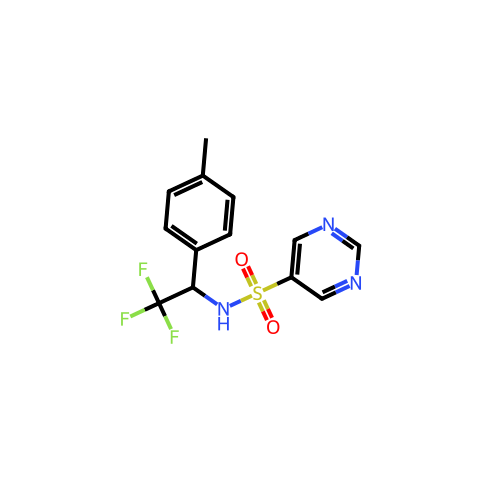 Cc1ccc(C(NS(=O)(=O)c2cncnc2)C(F)(F)F)cc1